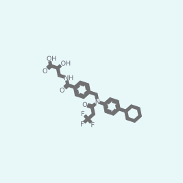 O=C(NCC(O)C(=O)O)c1ccc(CN(C(=O)CC(F)(F)F)c2ccc(C3CCCCC3)cc2)cc1